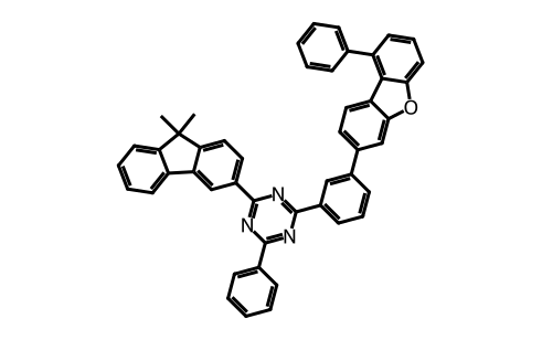 CC1(C)c2ccccc2-c2cc(-c3nc(-c4ccccc4)nc(-c4cccc(-c5ccc6c(c5)oc5cccc(-c7ccccc7)c56)c4)n3)ccc21